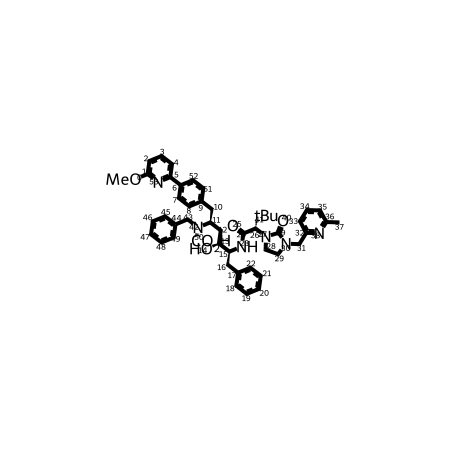 COc1cccc(-c2ccc(C[C@@H](C[C@H](O)[C@H](Cc3ccccc3)NC(=O)[C@@H](N3CCN(Cc4cccc(C)n4)C3=O)C(C)(C)C)N(Cc3ccccc3)C(=O)O)cc2)n1